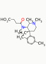 Cc1ccc(C)c([C@@]2(C)CCN(C)C(C)[C@@H]2N(C)C(=O)CCC(=O)O)c1